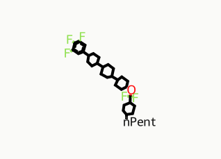 CCCCCC1CCC(C(F)(F)OC2CCC(C3CCC(C4CCC(c5cc(F)c(F)c(F)c5)CC4)CC3)CC2)CC1